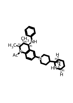 CC(=O)N1c2ccc(N3CCC(N4C[C@H]5CC[C@@H]4CN5)CC3)cc2[C@H](Nc2ccccc2)[C@@H](C)[C@@H]1C